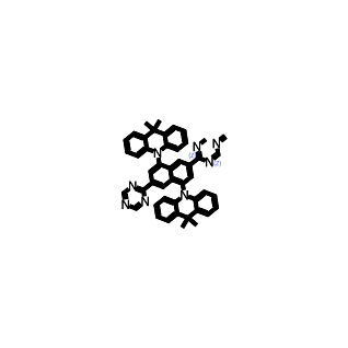 C=N/C=N\C(=N/C)c1cc(N2c3ccccc3C(C)(C)c3ccccc32)c2cc(-c3ncncn3)cc(N3c4ccccc4C(C)(C)c4ccccc43)c2c1